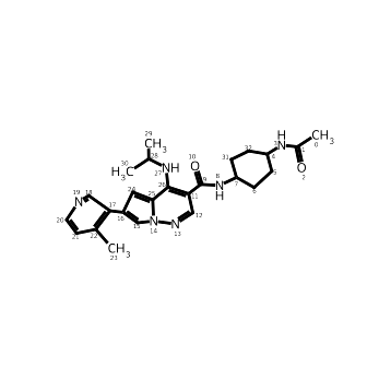 CC(=O)NC1CCC(NC(=O)c2cnn3cc(-c4cnccc4C)cc3c2NC(C)C)CC1